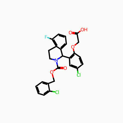 O=C(O)COc1ccc(Cl)cc1C1c2cccc(F)c2CCN1C(=O)OCc1ccccc1Cl